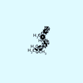 C=CC(=O)N1[C@H](C)CN(c2ncc3ncnc(Nc4ccc(Oc5ccn6ncnc6c5)c(C)c4)c3n2)C[C@@H]1C